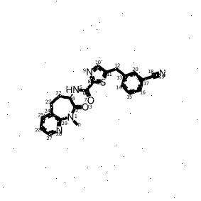 CN1C(=O)[C@@H](NC(=O)c2ncc(Cc3cccc(C#N)c3)s2)CCc2cccnc21